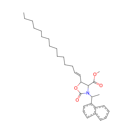 CCCCCCCCCCCCCC=CC1OC(=O)N(C(C)c2cccc3ccccc23)C1C(=O)OC